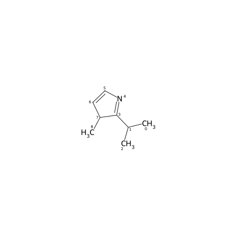 CC(C)C1=NC=CC1C